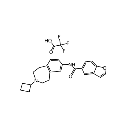 O=C(Nc1ccc2c(c1)CCN(C1CCC1)CC2)c1ccc2occc2c1.O=C(O)C(F)(F)F